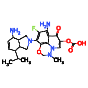 CC(C)C1C=CC(N)C2CN(c3c(F)c(N)c4c(=O)c(OC(=O)O)cn5c4c3OCN5C)CC12